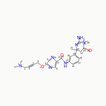 CN(C)CC#CCOc1cnc(C(=O)Nc2cccc(C3(C)CC(=O)N(C)C(N)=N3)c2)cn1